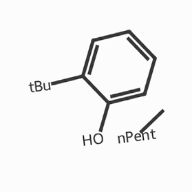 CC(C)(C)c1ccccc1O.CCCCCC